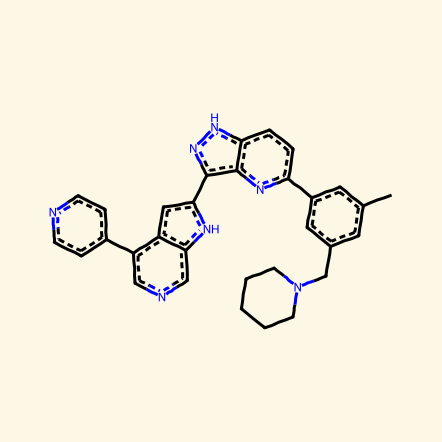 Cc1cc(CN2CCCCC2)cc(-c2ccc3[nH]nc(-c4cc5c(-c6ccncc6)cncc5[nH]4)c3n2)c1